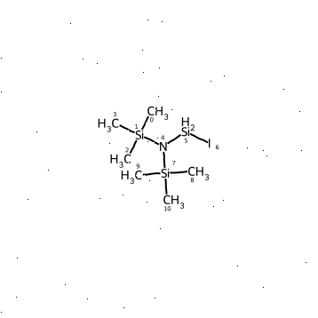 C[Si](C)(C)N([SiH2]I)[Si](C)(C)C